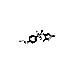 CCCOc1ccc(S(=O)(=O)N(C)c2cn(C)nc2C)cc1